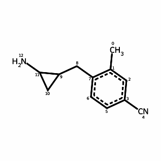 Cc1cc(C#N)ccc1CC1CC1N